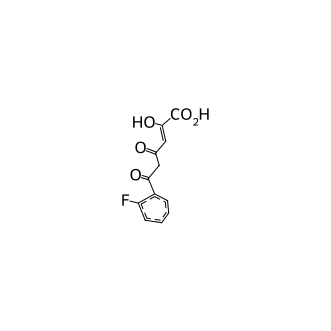 O=C(C=C(O)C(=O)O)CC(=O)c1ccccc1F